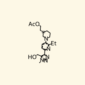 CCc1nc(-c2nnn(C)c2CO)ccc1N1CCC[C@H](CCOC(C)=O)C1